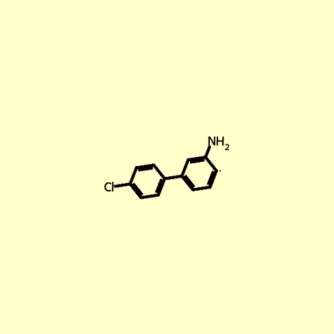 Nc1[c]ccc(-c2ccc(Cl)cc2)c1